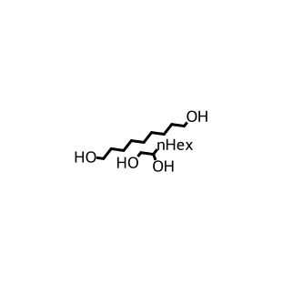 CCCCCCC(O)CO.OCCCCCCCCCO